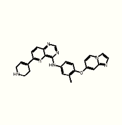 Cc1cc(Nc2ncnc3ccc(C4=CCNCC4)nc23)ccc1Oc1ccn2ccnc2c1